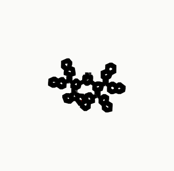 C1=C(c2cncc(-c3cc(N(c4ccc5ccccc5c4)c4ccc5ccccc5c4)cc(N(c4ccc5ccccc5c4)c4ccc5ccccc5c4)c3)c2)CC(N(c2ccc3ccccc3c2)c2ccc3ccccc3c2)C=C1n1c2ccccc2c2ccccc21